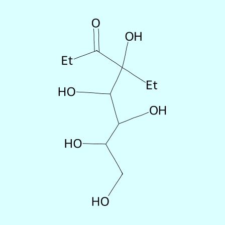 CCC(=O)C(O)(CC)C(O)C(O)C(O)CO